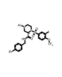 CC(=O)N1CCN(S(=O)(=O)c2ccc(OC(F)(F)F)c(I)c2)[C@@H](C(=O)NCc2ccc(C(C)C)cc2)C1